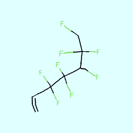 C=CC(F)(F)C(F)(F)C(F)C(F)(F)CF